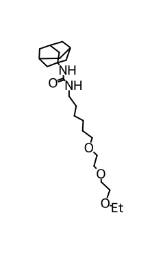 CCOCCOCCOCCCCCCNC(=O)NC12CC3CC(CC(C3)C1)C2